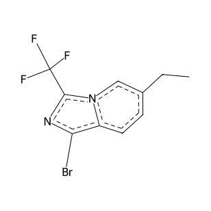 CCc1ccc2c(Br)nc(C(F)(F)F)n2c1